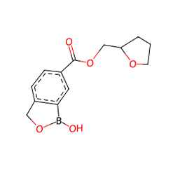 O=C(OCC1CCCO1)c1ccc2c(c1)B(O)OC2